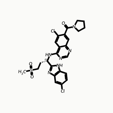 CS(=O)(=O)CC[C@H](Nc1ncnc2cc(C(=O)N3CCCC3)c(Cl)cc12)c1nc2cc(Cl)ccc2[nH]1